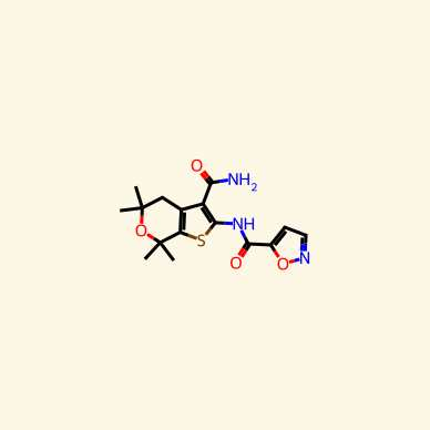 CC1(C)Cc2c(sc(NC(=O)c3ccno3)c2C(N)=O)C(C)(C)O1